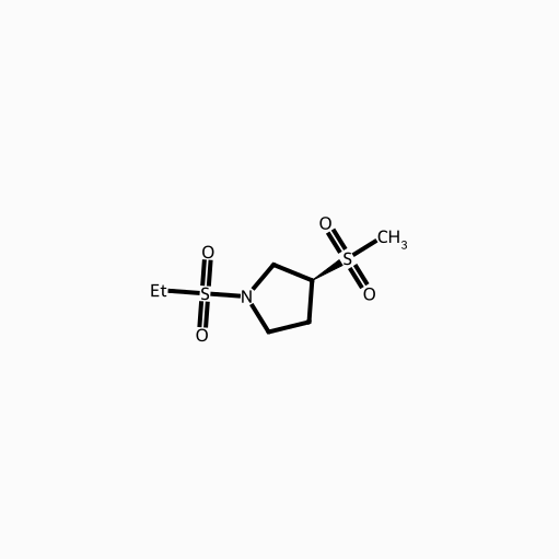 CCS(=O)(=O)N1CC[C@H](S(C)(=O)=O)C1